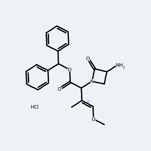 CO/C=C(\C)C(C(=O)OC(c1ccccc1)c1ccccc1)N1CC(N)C1=O.Cl